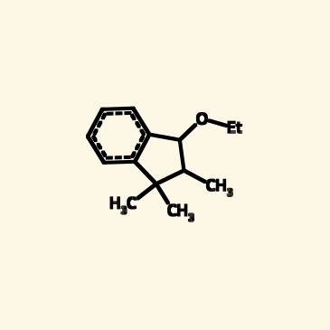 CCOC1c2ccccc2C(C)(C)C1C